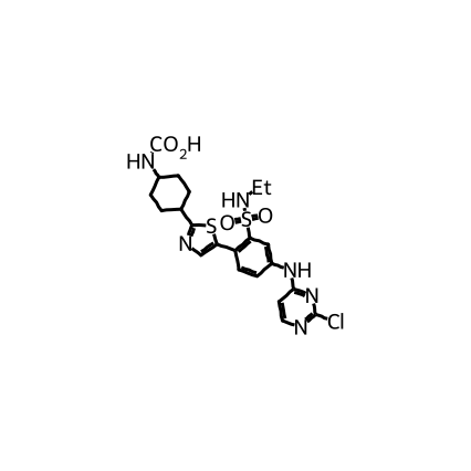 CCNS(=O)(=O)c1cc(Nc2ccnc(Cl)n2)ccc1-c1cnc(C2CCC(NC(=O)O)CC2)s1